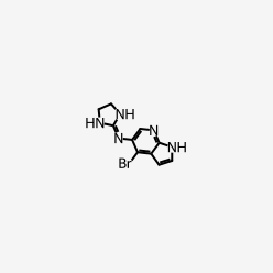 Brc1c(N=C2NCCN2)cnc2[nH]ccc12